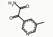 Cc1cncc(C(=O)C(N)=O)c1